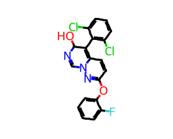 OC1N=CN2N=C(Oc3ccccc3F)C=CC2=C1c1c(Cl)cccc1Cl